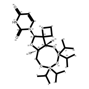 CC(C)[Si]1(C(C)C)OC[C@H]2O[C@@H](n3ccc(=O)[nH]c3=O)C3(CCS3)[C@@H]2O[Si](C(C)C)(C(C)C)O1